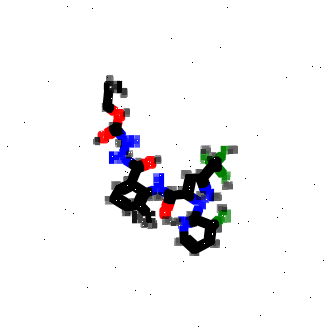 CCOC(=O)NNC(=O)c1cccc(C)c1NC(=O)c1cc(C(F)(F)F)nn1-c1ncccc1Cl